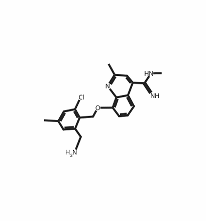 CNC(=N)c1cc(C)nc2c(OCc3c(Cl)cc(C)cc3CN)cccc12